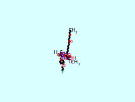 CCCCCCCC(=O)CCCCCCC=C[C@H](C(=O)N[C@@H](Cc1ccc(OCCCF)cc1)C(=O)NC)[C@@](O)(CCOC)C(=O)O